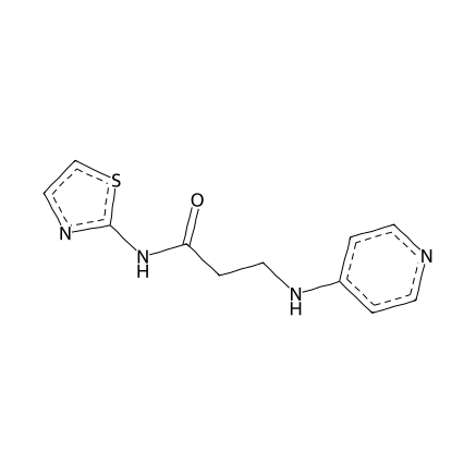 O=C(CCNc1ccncc1)Nc1nccs1